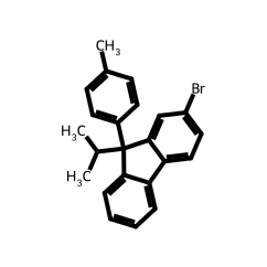 Cc1ccc(C2(C(C)C)c3ccccc3-c3ccc(Br)cc32)cc1